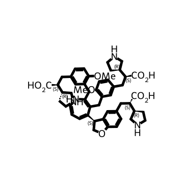 COc1ccc(C[C@H](C(=O)O)[C@H]2CCNC2)cc1CC1=C(Cc2cc(C[C@H](C(=O)O)[C@H]3CCNC3)ccc2OC)C([C@@H]2COc3ccc(C[C@H](C(=O)O)[C@H]4CCNC4)cc32)=CC=CN1